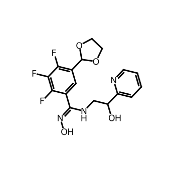 O/N=C(\NCC(O)c1ccccn1)c1cc(C2OCCO2)c(F)c(F)c1F